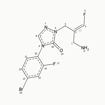 NC/C(=C/F)Cn1ncn(-c2ccc(Br)cc2F)c1=O